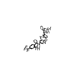 O=C(O)NCc1ccc(Oc2ccc(NC(=O)c3ccc(C(F)(F)F)cc3F)cn2)c(F)c1